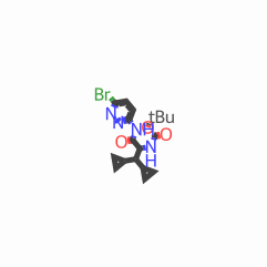 CC(C)(C)OC(=O)NC(C(=O)Nc1ccc(Br)nn1)C(C1CC1)C1CC1